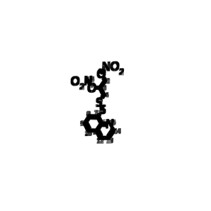 O=[N+]([O-])OCC(CSSc1cccc2cccnc12)O[N+](=O)[O-]